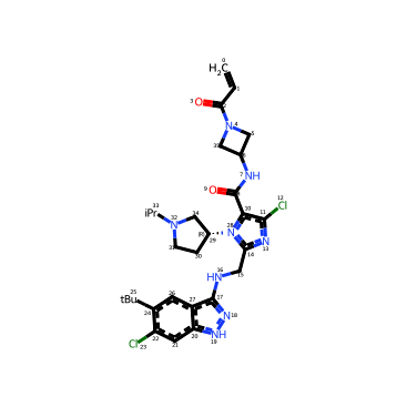 C=CC(=O)N1CC(NC(=O)c2c(Cl)nc(CNc3n[nH]c4cc(Cl)c(C(C)(C)C)cc34)n2[C@@H]2CCN(C(C)C)C2)C1